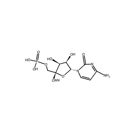 CO[C@]1(COP(=O)(O)O)O[C@@H](n2ccc(N)nc2=O)[C@H](O)[C@@H]1O